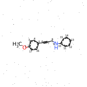 COc1ccc(C#CCNc2ccccc2)cc1